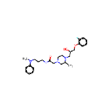 CC1CN(CC(=O)NCCCN(C)c2ccccc2)CCN1CC(O)COc1ccccc1F